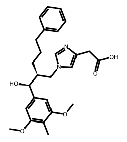 COc1cc([C@@H](O)[C@@H](CCCc2ccccc2)Cn2cnc(CC(=O)O)c2)cc(OC)c1C